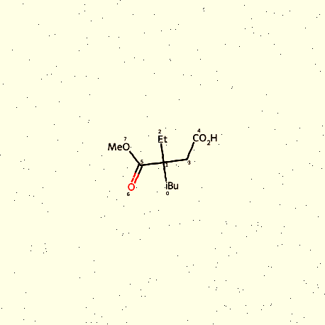 CCC(C)C(CC)(CC(=O)O)C(=O)OC